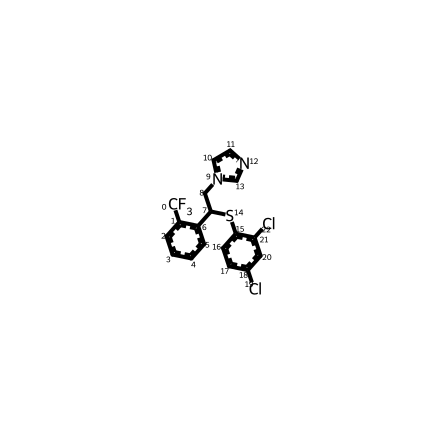 FC(F)(F)c1ccccc1C(Cn1ccnc1)Sc1ccc(Cl)cc1Cl